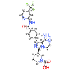 Nc1nccn2c([C@@H]3CCCN(C(=O)O)C3)nc(-c3ccc(C(=O)Nc4cc(C(F)(F)F)ccn4)cc3)c12